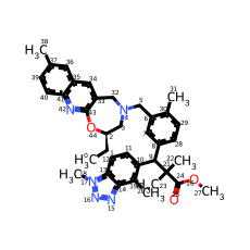 CC[C@@H]1CN(Cc2cc(C(c3ccc4c(nnn4C)c3C)C(C)(C)C(=O)OC)ccc2C)Cc2cc3cc(C)ccc3nc2O1